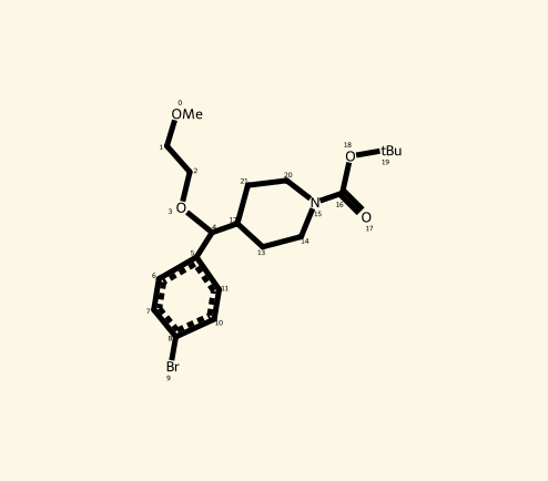 COCCOC(c1ccc(Br)cc1)C1CCN(C(=O)OC(C)(C)C)CC1